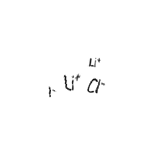 [Cl-].[I-].[Li+].[Li+]